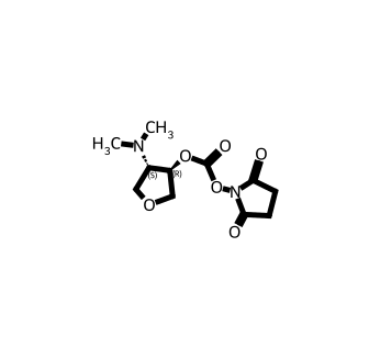 CN(C)[C@H]1COC[C@@H]1OC(=O)ON1C(=O)CCC1=O